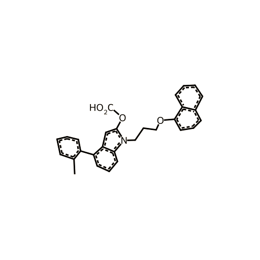 Cc1ccccc1-c1cccc2c1cc(OC(=O)O)n2CCCOc1cccc2ccccc12